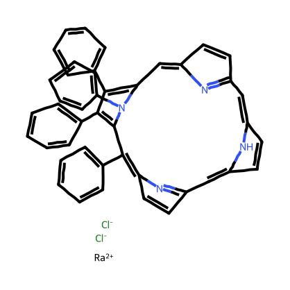 C1=Cc2cc3c(-c4ccccc4)c(-c4ccccc4)c(c(-c4ccccc4)c4nc(cc5ccc(cc1n2)[nH]5)C=C4)n3-c1ccccc1.[Cl-].[Cl-].[Ra+2]